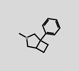 CN1CC2CCC2(c2ccccc2)C1